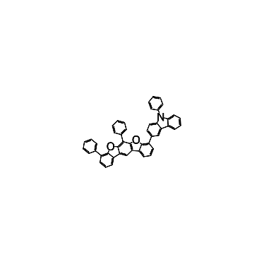 c1ccc(-c2cccc3c2oc2c(-c4ccccc4)c4oc5c(-c6ccc7c(c6)c6ccccc6n7-c6ccccc6)cccc5c4cc23)cc1